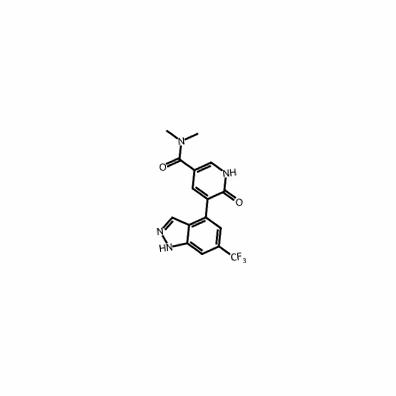 CN(C)C(=O)c1c[nH]c(=O)c(-c2cc(C(F)(F)F)cc3[nH]ncc23)c1